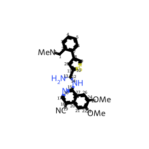 CNCc1ccccc1-c1csc([C@@H](N)Nc2ncc(C#N)c3cc(OC)c(OC)cc23)c1